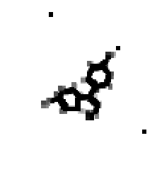 Fc1ccc(C(=CBr)c2ccc(F)cc2)cc1